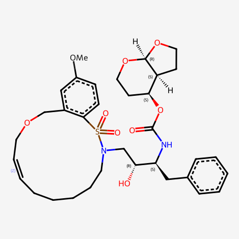 COc1ccc2c(c1)COC/C=C\CCCCCN(C[C@@H](O)[C@H](Cc1ccccc1)NC(=O)O[C@H]1CCO[C@H]3OCC[C@H]31)S2(=O)=O